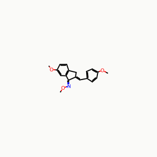 CO/N=C1/C(=C/c2ccc(OC)cc2)Cc2ccc(OC)cc21